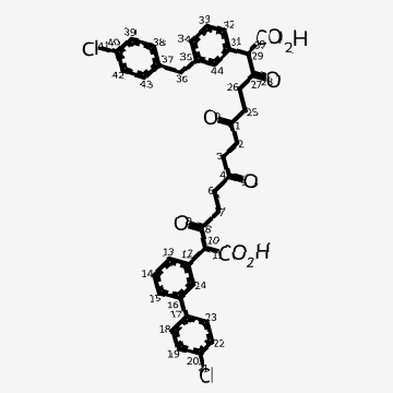 O=C(CCC(=O)CCC(=O)C(C(=O)O)c1cccc(-c2ccc(Cl)cc2)c1)CCC(=O)C(C(=O)O)c1cccc(Cc2ccc(Cl)cc2)c1